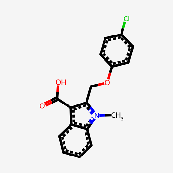 Cn1c(COc2ccc(Cl)cc2)c(C(=O)O)c2ccccc21